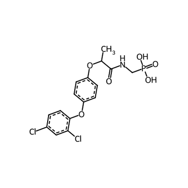 CC(Oc1ccc(Oc2ccc(Cl)cc2Cl)cc1)C(=O)NCP(=O)(O)O